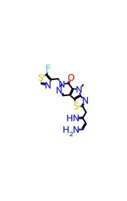 Cn1c2nc(CC(=N)/C=C\N)sc2c2cnn(Cc3ncsc3F)c(=O)c21